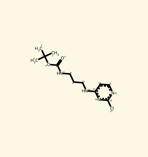 CC(C)(C)OC(=O)NCCCNc1ccnc(Cl)n1